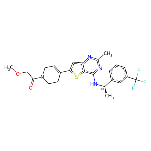 COCC(=O)N1CC=C(c2cc3nc(C)nc(N[C@H](C)c4cccc(C(F)(F)F)c4)c3s2)CC1